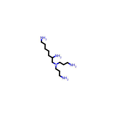 NCCCCCC(N)CN(CCCN)CCCN